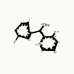 OC(c1cccc(F)c1)c1ncccc1F